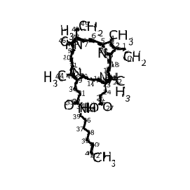 C=CC1=C(C)c2cc3[nH]c(cc4nc(cc5[nH]c(cc1n2)c(C)c5CCC(=O)O)C(CCC(=O)NCCCCCCCC)=C4C)c(C)c3C=C